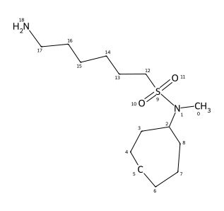 CN(C1CCCCCC1)S(=O)(=O)CCCCCCN